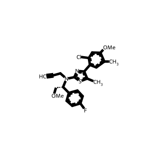 C#CCN(c1nc(-c2cc(C)c(OC)cc2Cl)c(C)s1)[C@@H](COC)c1ccc(F)cc1